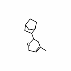 CC1=CCOC(C2CC3CCC2C3)C1